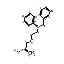 C=C(C)COCCN(Cc1ccccc1)c1ccccc1